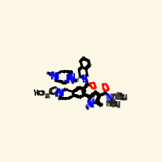 CCCCN(CCCC)C(=O)c1cc(-c2cc3c(cc2C(=O)N2Cc4ccccc4C[C@H]2CN2CCN(C)CC2)CN(C(=O)O)CC3)n(C)c1C